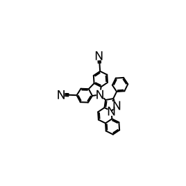 N#Cc1ccc2c(c1)c1cc(C#N)ccc1n2-c1c(-c2ccccc2)nn2c1ccc1ccccc12